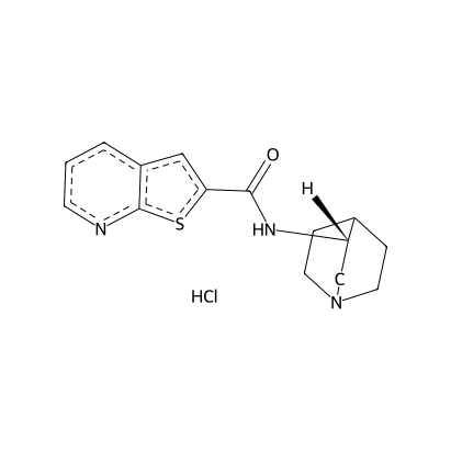 Cl.O=C(N[C@H]1CN2CCC1CC2)c1cc2cccnc2s1